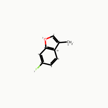 [CH2]c1coc2cc(F)ccc12